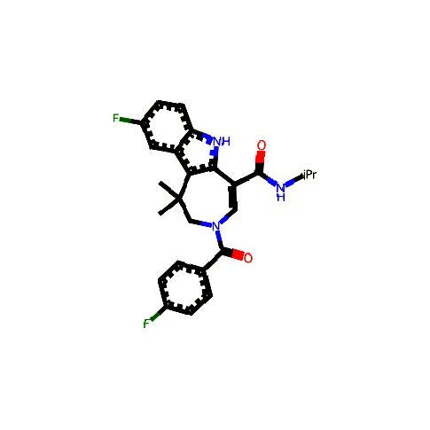 CC(C)NC(=O)C1=CN(C(=O)c2ccc(F)cc2)CC(C)(C)c2c1[nH]c1ccc(F)cc21